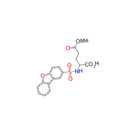 COC(=O)CCC(NS(=O)(=O)c1ccc2oc3ccccc3c2c1)C(=O)O